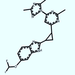 Cc1nc(C2CC2c2nc3ccc(OC(F)F)cc3[nH]2)cc(-n2nc(C)nc2C)n1